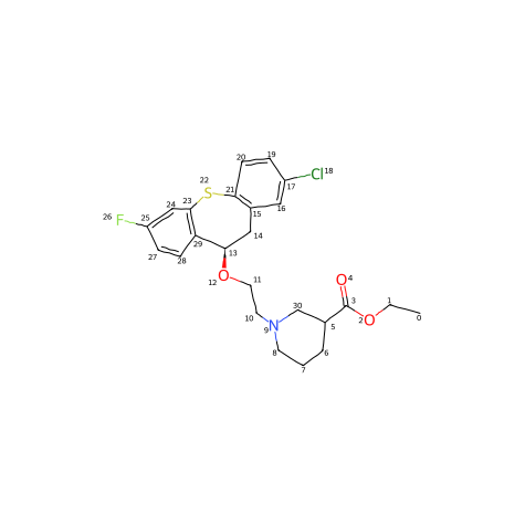 CCOC(=O)C1CCCN(CCO[C@@H]2Cc3cc(Cl)ccc3Sc3cc(F)ccc32)C1